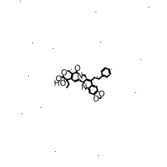 CC[C@@]1(O)C(=O)OCc2c1cc1n(c2=O)Cc2c-1nc1cc3c(cc1c2CCc1ccccc1)OCO3